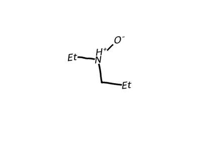 CCC[NH+]([O-])CC